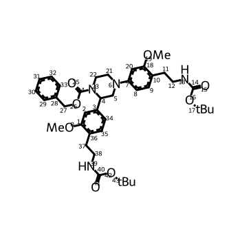 COc1cc(C2CN(c3ccc(CCNC(=O)OC(C)(C)C)c(OC)c3)CCN2C(=O)OCc2ccccc2)ccc1CCNC(=O)OC(C)(C)C